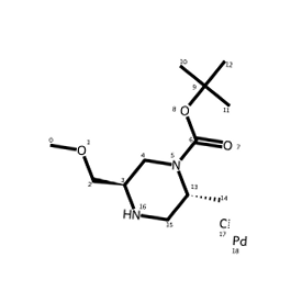 COC[C@H]1CN(C(=O)OC(C)(C)C)[C@H](C)CN1.[C].[Pd]